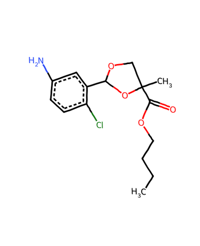 CCCCOC(=O)C1(C)COC(c2cc(N)ccc2Cl)O1